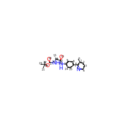 Cc1cccnc1-c1ccc(NC(=O)[C@@H](C)NC(=O)OC(C)(C)C)cc1